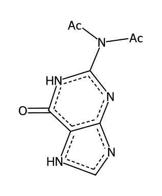 CC(=O)N(C(C)=O)c1nc2nc[nH]c2c(=O)[nH]1